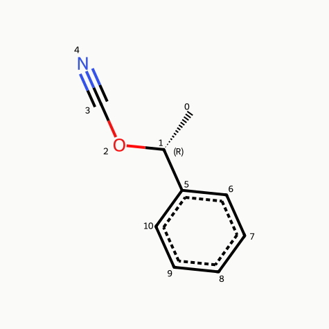 C[C@@H](OC#N)c1ccccc1